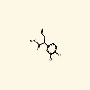 C=CCC(C(=O)OC)c1ccc(Cl)c(Cl)c1